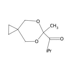 CC(C)C(=O)C1(C)OCC2(CC2)CO1